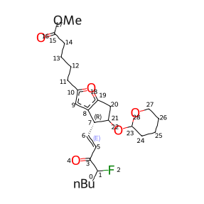 CCCCC(F)C(=O)/C=C/[C@@H]1c2cc(CCCCC(=O)OC)oc2CC1OC1CCCCO1